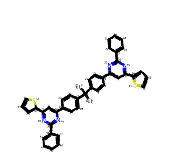 CCC(CC)(c1ccc(-c2cc(-c3cccs3)nc(-c3ccccc3)n2)cc1)c1ccc(-c2cc(C3CC=CS3)nc(-c3ccccc3)n2)cc1